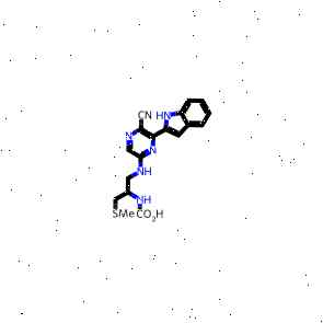 CSCC(CNc1cnc(C#N)c(-c2cc3ccccc3[nH]2)n1)NC(=O)O